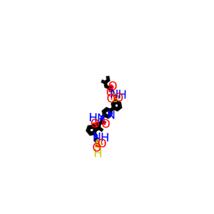 CCC(C)CC(=O)ONS(=O)(=O)c1cccc(-c2ccc(NC(=O)c3oc4cccc(NC[SH](=O)=O)c4c3C)cn2)c1